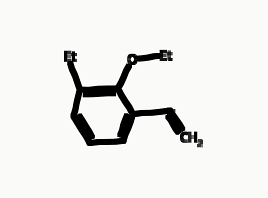 C=[C]c1cccc(CC)c1OCC